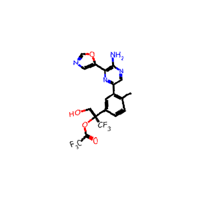 Cc1ccc(C(CO)(OC(=O)C(F)(F)F)C(F)(F)F)cc1-c1cnc(N)c(-c2cnco2)n1